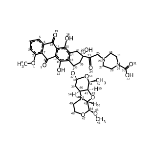 COc1cccc2c1C(=O)c1c(O)c3c(c(O)c1C2=O)C[C@@](O)(C(=O)CN1CCN(C(=O)O)CC1)C[C@@H]3O[C@H]1C[C@H]2[C@H](O[C@@H]3[C@@H](OC)OCCN32)[C@H](C)O1